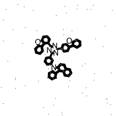 c1cc(-c2nc(-c3ccc4c(c3)oc3ccccc34)nc(-c3cccc4oc5ccccc5c34)n2)cc(-n2c3ccccc3c3c4ccccc4ccc32)c1